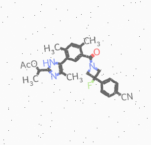 CC(=O)OC(C)c1nc(C)c(-c2cc(C(=O)N3CC(F)(c4ccc(C#N)cc4)C3)c(C)cc2C)[nH]1